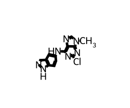 Cn1cnc2c(Nc3ccc4[nH]ncc4c3)nc(Cl)nc21